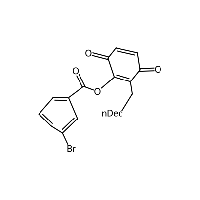 CCCCCCCCCCCC1=C(OC(=O)c2cccc(Br)c2)C(=O)C=CC1=O